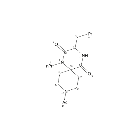 CCCN1C(=O)C(CC(C)C)NC(=O)C12CCN(C(C)=O)CC2